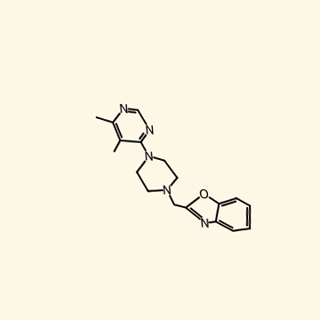 Cc1ncnc(N2CCN(Cc3nc4ccccc4o3)CC2)c1C